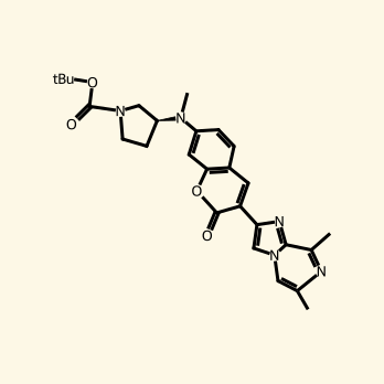 Cc1cn2cc(-c3cc4ccc(N(C)[C@H]5CCN(C(=O)OC(C)(C)C)C5)cc4oc3=O)nc2c(C)n1